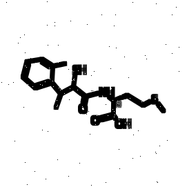 CSCC[C@H](NC(=O)C(S)C(C)c1ccccc1C)C(=O)O